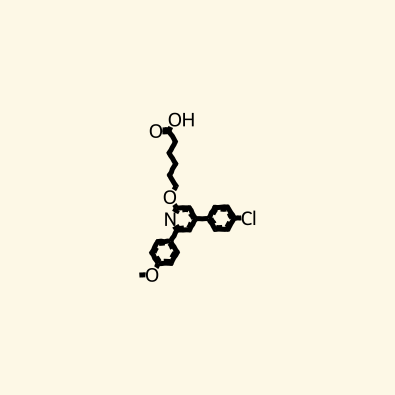 COc1ccc(-c2cc(-c3ccc(Cl)cc3)cc(OCCCCCC(=O)O)n2)cc1